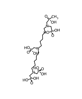 CP(=O)(O)CN(CCCCCCN(CCCCCCN(CP(=O)(O)O)CP(=O)(O)O)CP(=O)(O)O)CP(=O)(O)O